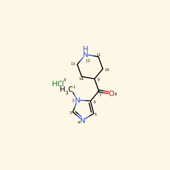 Cl.Cn1cncc1C(=O)C1CCNCC1